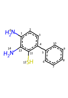 Nc1ccc(-c2ccccc2)c(S)c1N